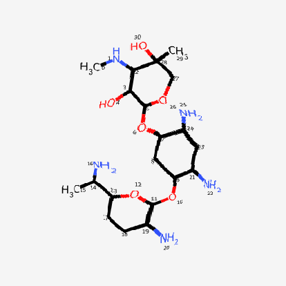 CNC1C(O)C(OC2CC(OC3OC(C(C)N)CCC3N)C(N)CC2N)OCC1(C)O